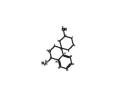 CC1OCC2(CCCC(O)C2)c2ccccc21